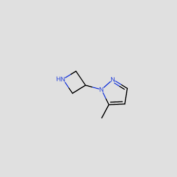 Cc1ccnn1C1CNC1